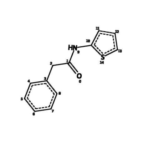 O=C(Cc1ccccc1)Nc1cccs1